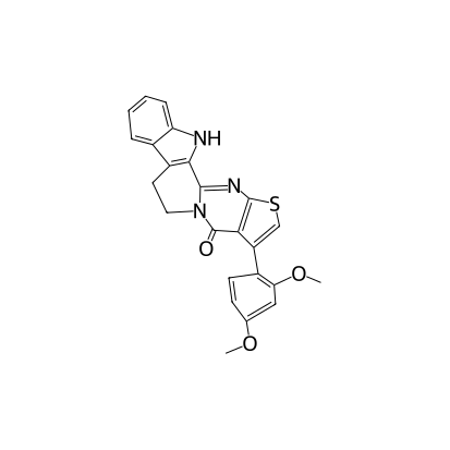 COc1ccc(-c2csc3nc4n(c(=O)c23)CCc2c-4[nH]c3ccccc23)c(OC)c1